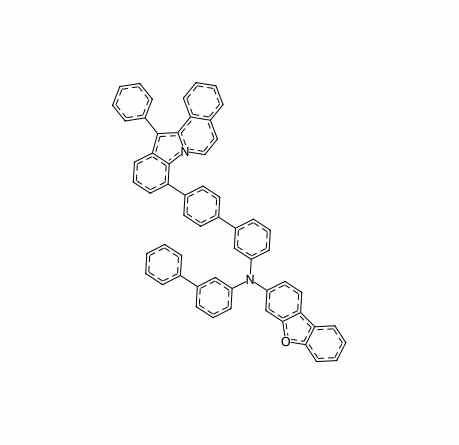 c1ccc(-c2cccc(N(c3cccc(-c4ccc(-c5cccc6c(-c7ccccc7)c7c8ccccc8ccn7c56)cc4)c3)c3ccc4c(c3)oc3ccccc34)c2)cc1